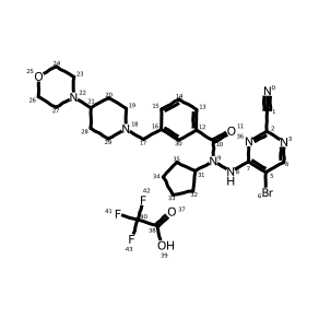 N#Cc1ncc(Br)c(NN(C(=O)c2cccc(CN3CCC(N4CCOCC4)CC3)c2)C2CCCC2)n1.O=C(O)C(F)(F)F